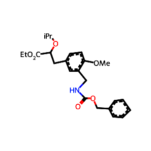 CCOC(=O)C(Cc1ccc(OC)c(CNC(=O)OCc2ccccc2)c1)OC(C)C